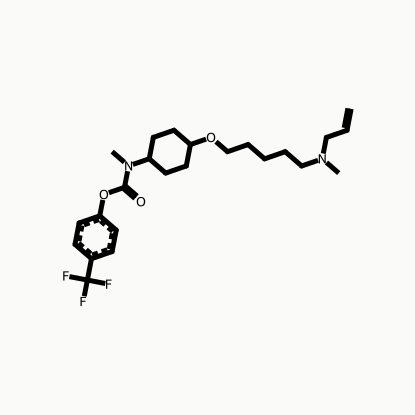 C=CCN(C)CCCCCOC1CCC(N(C)C(=O)Oc2ccc(C(F)(F)F)cc2)CC1